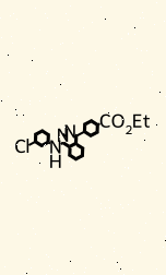 CCOC(=O)c1ccc(-c2nnc(Nc3cccc(Cl)c3)c3ccccc23)cc1